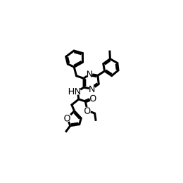 CCOC(=O)C(Cc1ccc(C)o1)Nc1ncc(-c2cccc(C)c2)nc1Cc1ccccc1